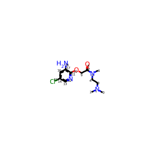 CN(C)CCN(C)C(=O)COc1ncc(Cl)cc1N